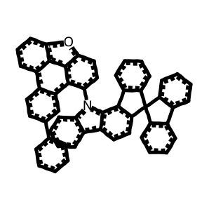 c1ccc(-c2ccc3c(c2)c2c(-n4c5ccccc5c5ccc6c(c54)-c4ccccc4C64c5ccccc5-c5ccccc54)ccc4oc5cccc3c5c42)cc1